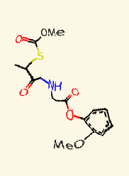 COC(=O)SC(C)C(=O)NCC(=O)Oc1ccccc1OC